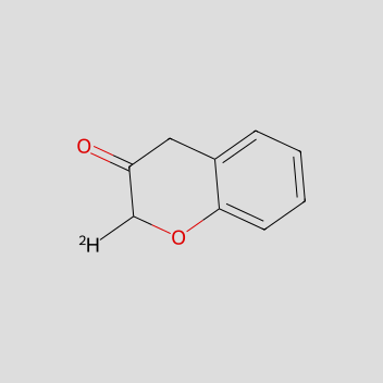 [2H]C1Oc2ccccc2CC1=O